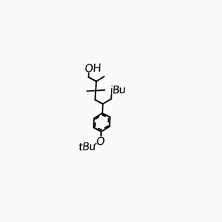 CCC(C)CC(CC(C)(C)C(C)CO)c1ccc(OC(C)(C)C)cc1